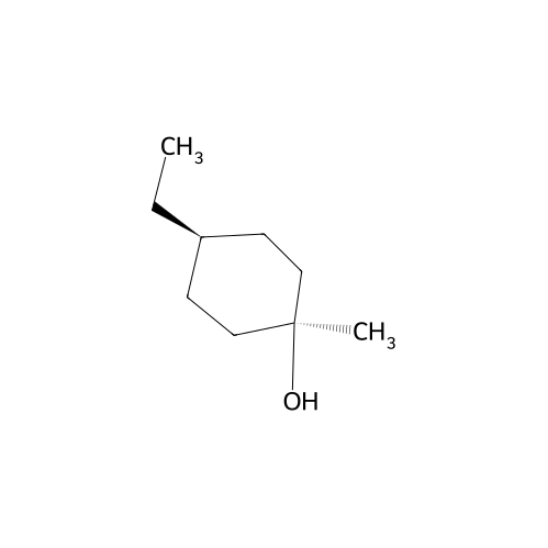 CC[C@H]1CC[C@@](C)(O)CC1